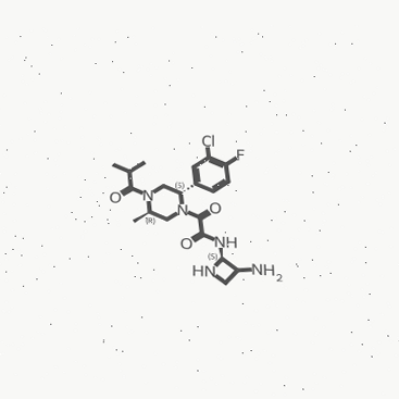 CC(C)C(=O)N1C[C@H](c2ccc(F)c(Cl)c2)N(C(=O)C(=O)N[C@@H]2NCC2N)C[C@H]1C